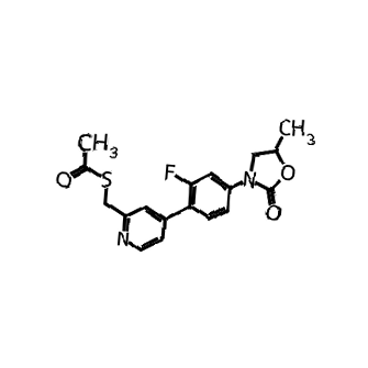 CC(=O)SCc1cc(-c2ccc(N3CC(C)OC3=O)cc2F)ccn1